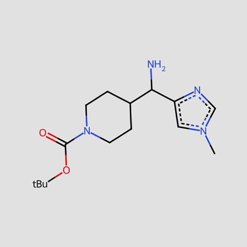 Cn1cnc(C(N)C2CCN(C(=O)OC(C)(C)C)CC2)c1